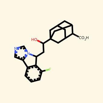 O=C(O)C1C2CC3CC1CC(C(O)CC1c4c(F)cccc4-c4cncn41)(C3)C2